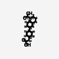 CC(=O)N1CCCc2cc(-c3ccc(CC(=O)O)cc3)ccc21